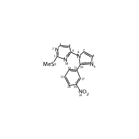 CSc1nccc(-n2ccnc2-c2cccc([N+](=O)[O-])c2)n1